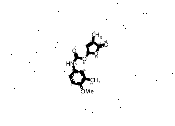 COc1ccc(NC(=O)OC2C=C(C)C(=O)O2)cc1C